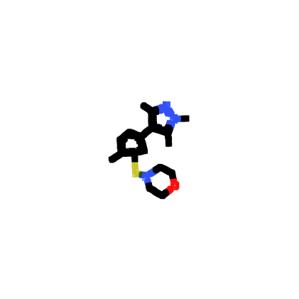 Cc1ccc(-c2c(C)nn(C)c2C)cc1SN1CCOCC1